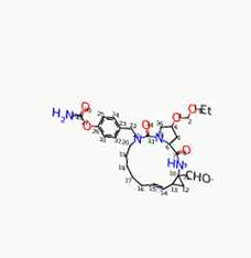 CCOCOC1CC2C(=O)NC3([C]=O)CC3/C=C/CCCCCN(Cc3ccc(OC(N)=O)cc3)C(=O)N2C1